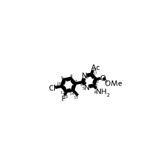 COOc1c(N)nc(-c2ccc(Cl)c(F)c2C)nc1C(C)=O